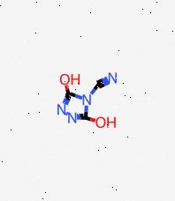 N#Cn1c(O)nnc1O